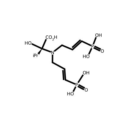 CC(C)[C@@](O)(C(=O)O)N(CC=CP(=O)(O)O)CC=CP(=O)(O)O